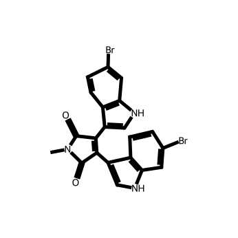 CN1C(=O)C(c2c[nH]c3cc(Br)ccc23)=C(c2c[nH]c3cc(Br)ccc23)C1=O